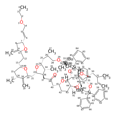 C=CCOC/C=C/[C@H]1CC(=C)C(CC[C@H]2C[C@@H](C)C(=C)C(C[C@@H]3O[C@H](C[C@H](C)CO[Si](C)(C)C(C)(C)C)[C@H](C)[C@H]3CC(=O)C[C@H]3CC[C@@H]4O[C@@H]5[C@@H](O[C@H](CC(C)C=C)[C@@H]5O[Si](c5ccccc5)(c5ccccc5)C(C)(C)C)[C@@H](O[Si](c5ccccc5)(c5ccccc5)C(C)(C)C)[C@H]4O3)O2)O1